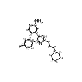 Nc1cc(-c2[nH]c(CCCN3CCOCC3)nc2-c2ccc(F)cc2)ccn1